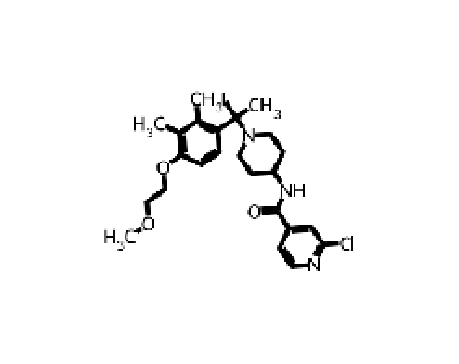 COCCOc1ccc(C(C)(I)N2CCC(NC(=O)c3ccnc(Cl)c3)CC2)c(C)c1C